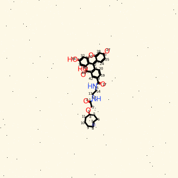 O=C(COC1CC/C=C/CCC1)NCCNC(=O)c1ccc(-c2c3ccc(=O)cc-3oc3cc(O)ccc23)c(C(=O)O)c1